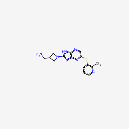 NCC1CN(c2nc3nc(Sc4cccnc4C(F)(F)F)cnc3[nH]2)C1